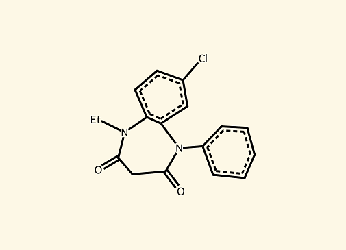 CCN1C(=O)CC(=O)N(c2ccccc2)c2cc(Cl)ccc21